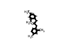 Cc1ccc(CC(=O)Cc2ccc(C)cc2C)c(C)c1